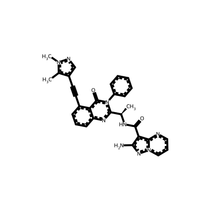 Cc1c(C#Cc2cccc3nc([C@@H](C)NC(=O)c4c(N)nn5cccnc45)n(-c4ccccc4)c(=O)c23)cnn1C